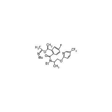 C=C(O/C(C)=N\C(C)CC)c1cc(F)ccc1C(=O)N(CC)C(C)COc1ccc(C(F)(F)F)cn1